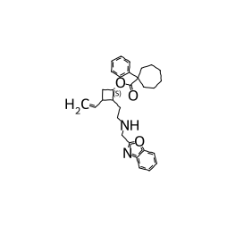 C=CC1C[C@H](OC(=O)C2(c3ccccc3)CCCCCC2)C1CCNCc1nc2ccccc2o1